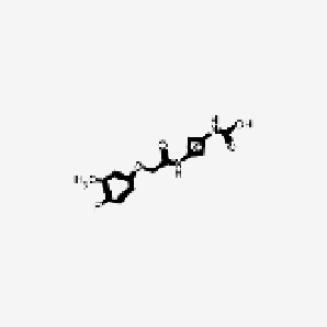 Cc1cc(OCC(=O)NC23CC(NC(=O)O)(C2)C3)ccc1F